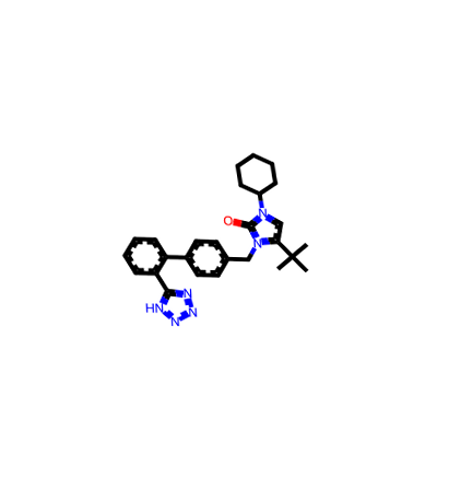 CC(C)(C)c1cn(C2CCCCC2)c(=O)n1Cc1ccc(-c2ccccc2-c2nnn[nH]2)cc1